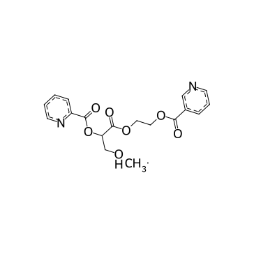 O=C(OCCOC(=O)C(CO)OC(=O)c1ccccn1)c1cccnc1.[CH3]